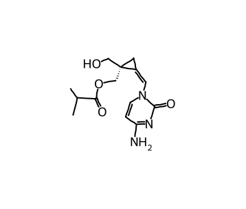 CC(C)C(=O)OC[C@]1(CO)C/C1=C/n1ccc(N)nc1=O